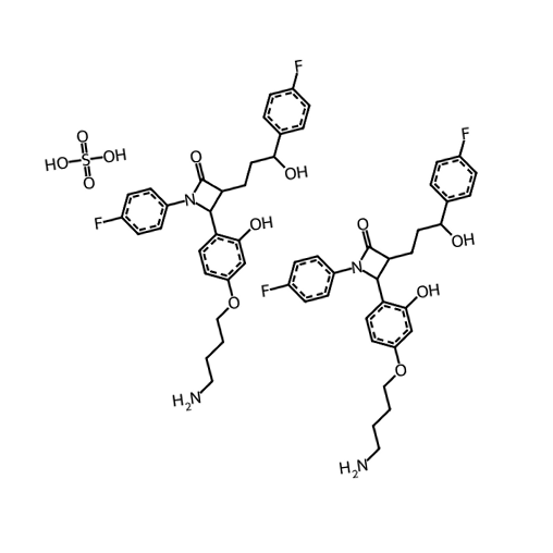 NCCCCOc1ccc(C2C(CCC(O)c3ccc(F)cc3)C(=O)N2c2ccc(F)cc2)c(O)c1.NCCCCOc1ccc(C2C(CCC(O)c3ccc(F)cc3)C(=O)N2c2ccc(F)cc2)c(O)c1.O=S(=O)(O)O